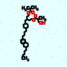 C=C(C)C(=O)OCCC(CCOC(=O)C(=C)CO)CC1CCC(CCCCc2ccc3c(c2)CCC(CCCCC)C3)CC1